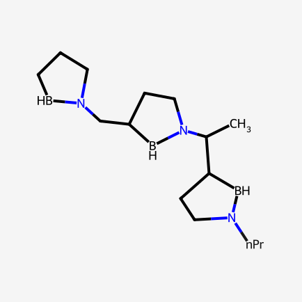 CCCN1BC(C(C)N2BC(CN3BCCC3)CC2)CC1